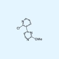 COc1nccc(-c2cccnc2Cl)n1